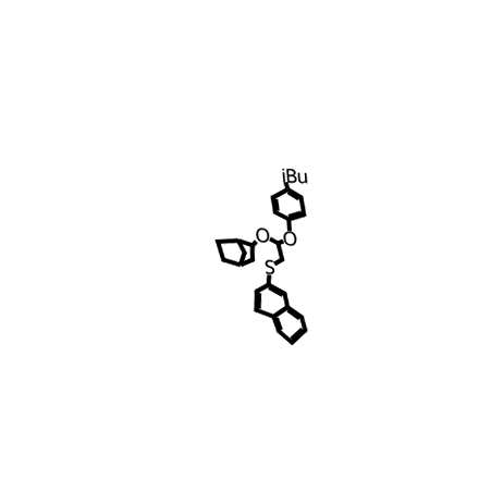 CCC(C)c1ccc(OC(CSc2ccc3ccccc3c2)OC2CC3CCC2C3)cc1